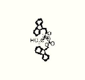 O=C(CC1c2ccccc2-c2ccccc21)ON(OC(=O)OCC1c2ccccc2-c2ccccc21)C(=O)O